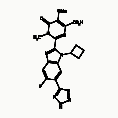 COc1c(C(=O)O)nc(-c2nc3cc(F)c(-c4nn[nH]n4)cc3n2C2CCC2)n(C)c1=O